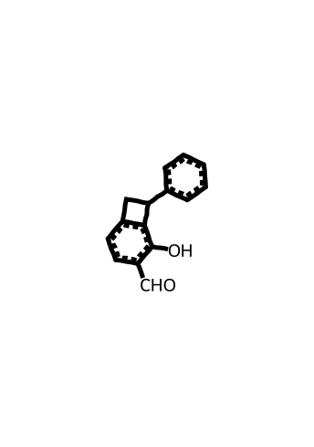 O=Cc1ccc2c(c1O)C(c1ccccc1)C2